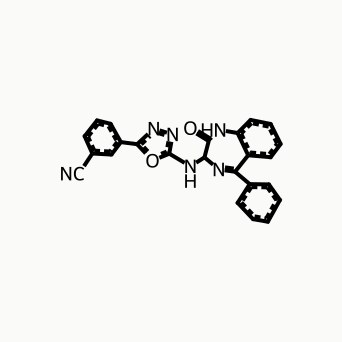 N#Cc1cccc(-c2nnc(NC3N=C(c4ccccc4)c4ccccc4NC3=O)o2)c1